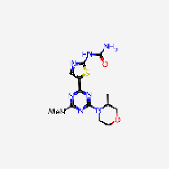 CNc1nc(-c2cnc(NC(N)=O)s2)nc(N2CCOCC2C)n1